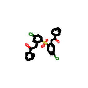 O=C(Cc1cc(Cl)ccc1S(=O)(=O)c1ccc(Cl)cc1CC(=O)c1ccccc1)c1ccccc1